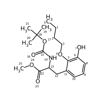 CCCCOc1c(O)cccc1CC(NC(=O)OC(C)(C)C)C(=O)OC